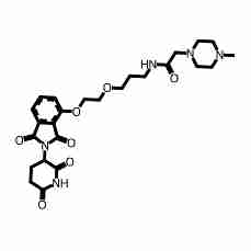 CN1CCN(CC(=O)NCCCOCCOc2cccc3c2C(=O)N(C2CCC(=O)NC2=O)C3=O)CC1